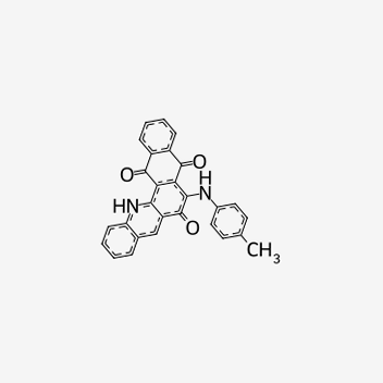 Cc1ccc(Nc2c3c(c4[nH]c5ccccc5cc-4c2=O)C(=O)c2ccccc2C3=O)cc1